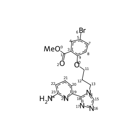 COC(=O)c1cc(Br)ccc1OCCCn1cnnc1-c1cccc(N)n1